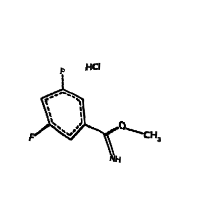 COC(=N)c1cc(F)cc(F)c1.Cl